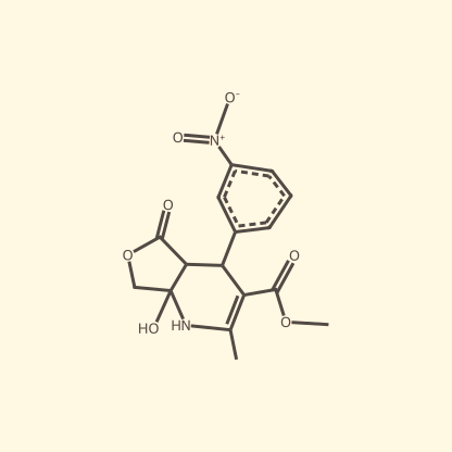 COC(=O)C1=C(C)NC2(O)COC(=O)C2C1c1cccc([N+](=O)[O-])c1